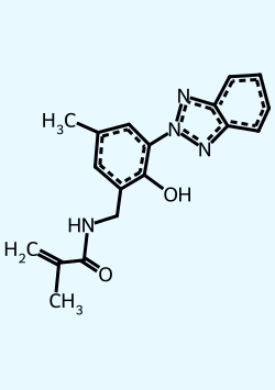 C=C(C)C(=O)NCc1cc(C)cc(-n2nc3ccccc3n2)c1O